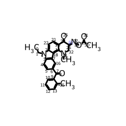 CCn1c2ccc(C(=O)c3ccccc3C)cc2c2c3c(ccc21)C(=O)/C(=N/OC(C)=O)CN3C